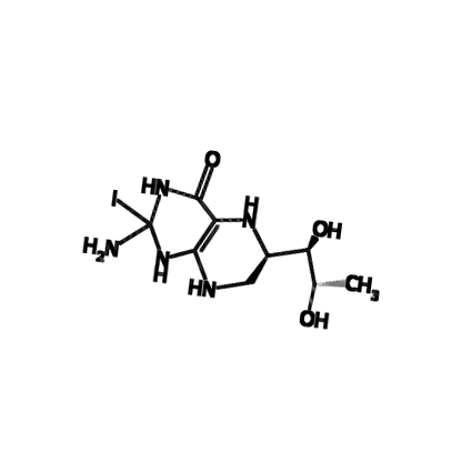 C[C@H](O)[C@H](O)[C@H]1CNC2=C(N1)C(=O)NC(N)(I)N2